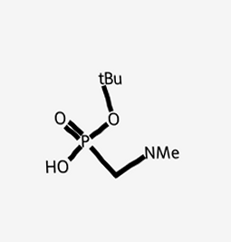 CNCP(=O)(O)OC(C)(C)C